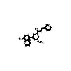 C[C@@H]1CC(c2ccc(C#N)c3ncccc23)CN(C(=O)CCc2cccnc2)C1